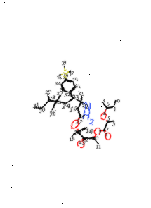 CCC(C)OC(C)C(=O)OC(C)C(=O)C(C)(C)OCCC(C)(N)C(CC(C)(C)C(C)CC)c1ccc(S(C)(C)C)cc1